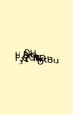 BC(O)(COc1ccn(C(=O)OC(C)(C)C)n1)CC1(C(F)(F)F)CC1